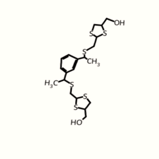 CC(SCC1SCC(CO)S1)c1cccc(C(C)SCC2SCC(CO)S2)c1